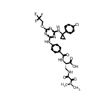 CN(C)C(=O)C(=O)NC[C@H](NC(=O)c1ccc(Nc2nc(NC3(c4ccc(Cl)cc4)CC3)nc(OCC(F)(F)F)n2)cc1)C(=O)O